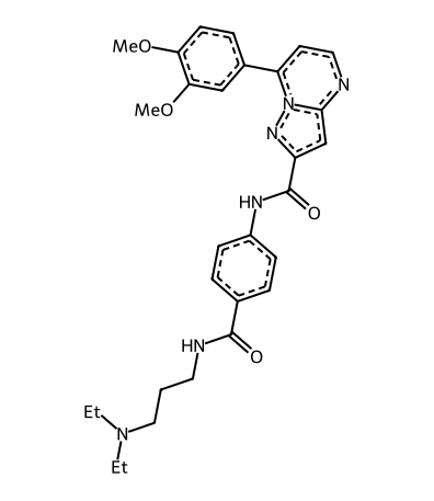 CCN(CC)CCCNC(=O)c1ccc(NC(=O)c2cc3nccc(-c4ccc(OC)c(OC)c4)n3n2)cc1